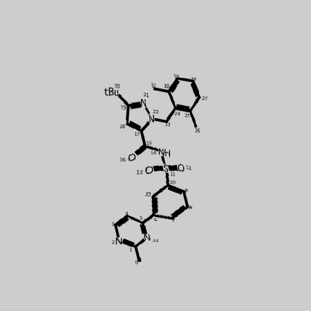 Cc1nccc(-c2cccc(S(=O)(=O)NC(=O)c3cc(C(C)(C)C)nn3Cc3c(C)cccc3C)c2)n1